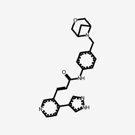 O=C(/C=C/c1cnccc1-c1cn[nH]c1)Nc1ccc(CN2C3COCC2C3)cc1